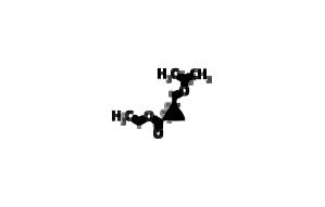 CCOC(=O)[C@H]1C[C@@H]1COC(C)C